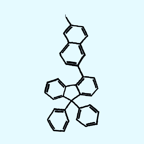 Ic1ccc2cc(-c3cccc4c3-c3ccccc3C4(c3ccccc3)c3ccccc3)ccc2c1